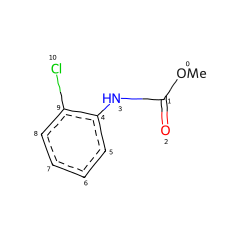 COC(=O)Nc1ccccc1Cl